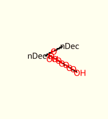 CCCCCCCCCCCCCCCCOCCCC(CCCCCCCCCCCC)C(CO)OCCOCCOCCOCCOCCOCCOCCO